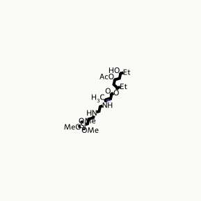 CCC(O)CC(CC(CC)OC(=O)/C=C(\C)NCCNCCC[Si](OC)(OC)OC)OC(C)=O